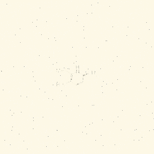 C=C1C=CC(C)=C(SC)N1